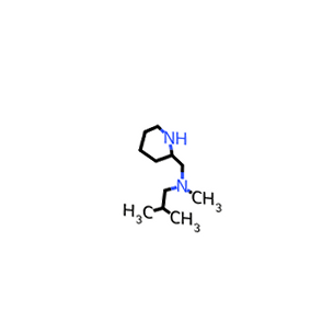 CC(C)CN(C)CC1CCCCN1